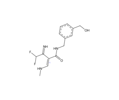 CN/C=C(\C(=N)C(F)F)C(=O)NCc1cccc(CO)c1